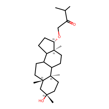 CC(C)C(=O)CO[C@H]1CCC2C3CC[C@@]4(C)C[C@@](C)(O)CC[C@]4(C)C3CC[C@@]21C